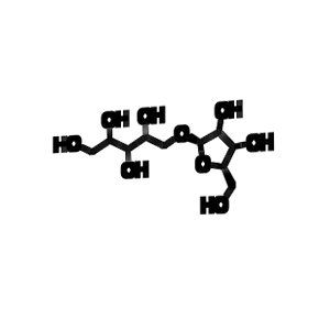 OCC(O)C(O)C(O)CO[C@@H]1O[C@H](CO)C(O)C1O